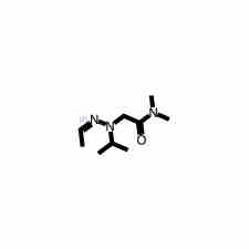 C/C=N\N(CC(=O)N(C)C)C(C)C